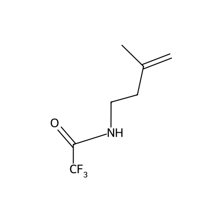 C=C(C)CCNC(=O)C(F)(F)F